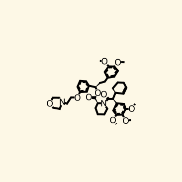 COc1ccc(CC[C@@H](OC(=O)[C@@H]2CCCCN2C(=O)[C@H](c2cc(OC)c(OC)c(OC)c2)[C@@H]2C=CCCC2)c2cccc(OCCN3CCOCC3)c2)cc1OC